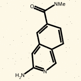 CNC(=O)c1ccc2cnc(N)cc2c1